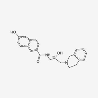 O=C(NC[C@H](O)CN1CCc2ccccc2C1)c1ccc2cc(O)ccc2c1